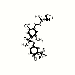 CNC(=N)CCc1cc(C)c(S(C)(=O)=Nc2ccc(Cl)c(C(F)(F)F)c2)cc1Cl